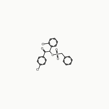 O=C(c1ccc(Cl)cc1)C(OS(=O)(=O)Cc1ccccc1)c1ccccc1Cl